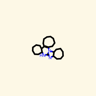 C1CCCC2=C(CCC1)N1C(=NC3CCCCCCC31)NC1CCCCCCC21